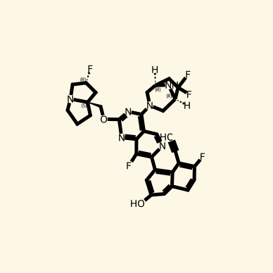 C#Cc1c(F)ccc2cc(O)cc(-c3ncc4c(N5C[C@H]6CC(F)(F)[C@@H](C5)N6)nc(OC[C@@]56CCCN5C[C@H](F)C6)nc4c3F)c12